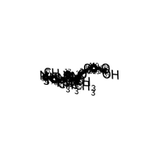 Cc1ncsc1-c1ccc([C@H](C)NC(=O)[C@@H]2CCCN2C(=O)C(NC(=O)COCCOc2ccc(CCC(=O)O)cc2)C(C)(C)C)cc1